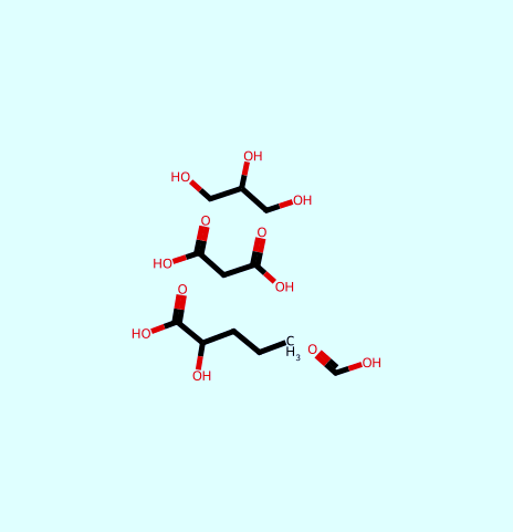 CCCC(O)C(=O)O.O=C(O)CC(=O)O.O=CO.OCC(O)CO